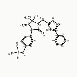 CC1(C)C(=O)N(c2ccc(SC(F)(F)F)cc2)C(=O)N1Cc1noc(-c2ccccc2)n1